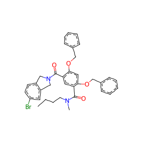 CCCCN(C)C(=O)c1cc(C(=O)N2Cc3ccc(Br)cc3C2)c(OCc2ccccc2)cc1OCc1ccccc1